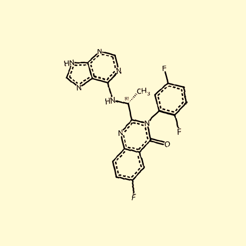 C[C@@H](Nc1ncnc2[nH]cnc12)c1nc2ccc(F)cc2c(=O)n1-c1cc(F)ccc1F